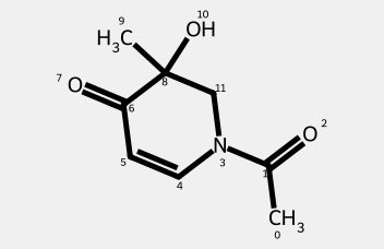 CC(=O)N1C=CC(=O)C(C)(O)C1